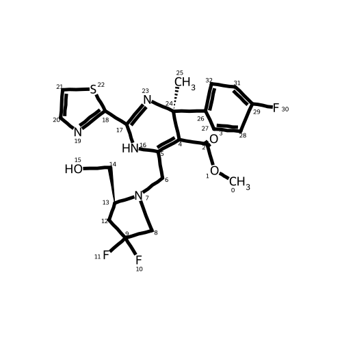 COC(=O)C1=C(CN2CC(F)(F)C[C@H]2CO)NC(c2nccs2)=N[C@@]1(C)c1ccc(F)cc1